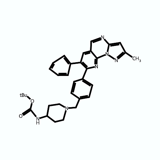 Cc1cc2ncc3cc(-c4ccccc4)c(-c4ccc(CN5CCC(NC(=O)OC(C)(C)C)CC5)cc4)nc3n2n1